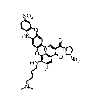 CN(C)CCCCNc1c(F)cc2c(=O)c(C(=O)N3CC[C@H](N)C3)cn3c4cc5oc6cc([N+](=O)[O-])ccc6[nH]c5cc4oc1c23